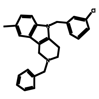 Cc1ccc2c(c1)c1c(n2Cc2cccc(Cl)c2)CCN(Cc2ccccc2)C1